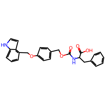 O=C(NC(Cc1ccccc1)C(=O)O)OCc1ccc(OCc2cccc3[nH]ccc23)cc1